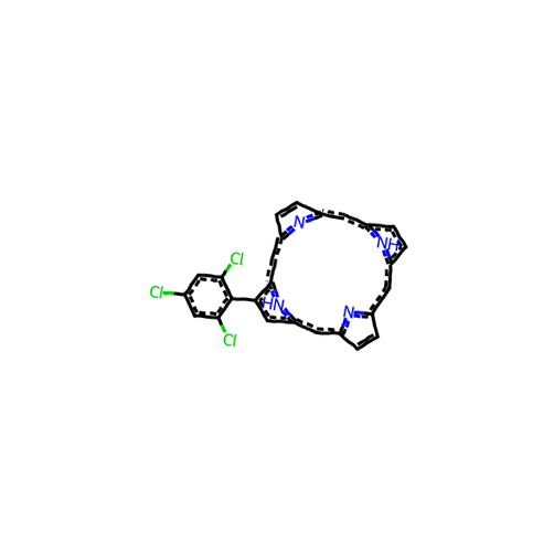 Clc1cc(Cl)c(-c2cc3cc4nc(cc5ccc(cc6nc(cc2[nH]3)C=C6)[nH]5)C=C4)c(Cl)c1